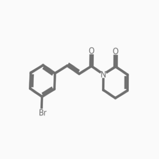 O=C1C=CCCN1C(=O)C=Cc1cccc(Br)c1